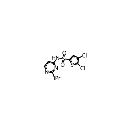 CC(C)c1nccc(NS(=O)(=O)c2cc(Cl)c(Cl)s2)n1